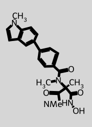 CNC(=O)[C@@](C)(C(=O)NO)N(C)C(=O)c1ccc(-c2ccc3c(ccn3C)c2)cc1